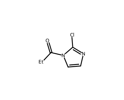 CCC(=O)n1ccnc1Cl